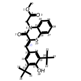 COC(=O)CN1C(=O)/C(=C/c2cc(C(C)(C)C)c(O)c(C(C)(C)C)c2)Sc2ccccc21